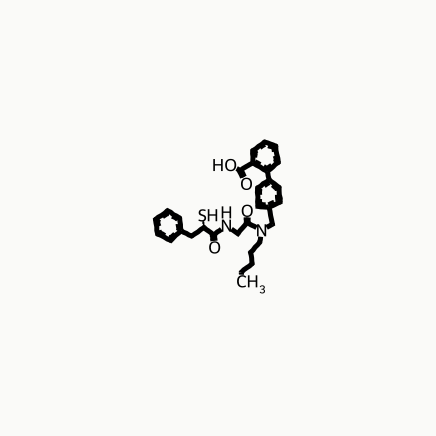 CCCCCN(Cc1ccc(-c2ccccc2C(=O)O)cc1)C(=O)CNC(=O)[C@@H](S)Cc1ccccc1